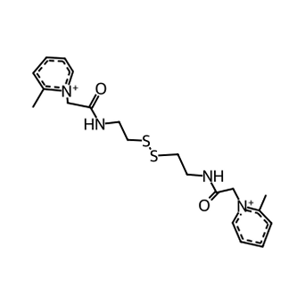 Cc1cccc[n+]1CC(=O)NCCSSCCNC(=O)C[n+]1ccccc1C